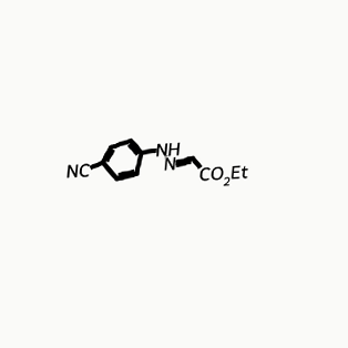 CCOC(=O)C=NNc1ccc(C#N)cc1